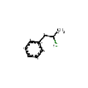 CC(Cl)[CH]c1ccccc1